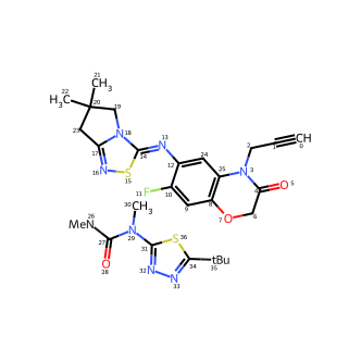 C#CCN1C(=O)COc2cc(F)c(/N=c3\snc4n3CC(C)(C)C4)cc21.CNC(=O)N(C)c1nnc(C(C)(C)C)s1